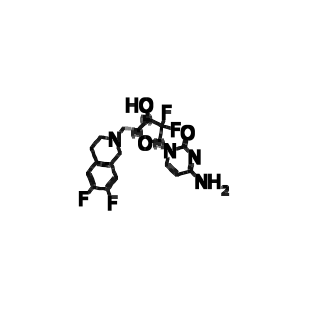 Nc1ccn([C@@H]2O[C@H](CN3CCc4cc(F)c(F)cc4C3)[C@@H](O)C2(F)F)c(=O)n1